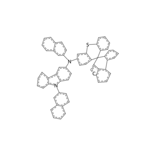 c1ccc2c(c1)Sc1cc(N(c3ccc4ccccc4c3)c3ccc4c(c3)c3ccccc3n4-c3ccc4ccccc4c3)ccc1C21c2ccccc2-c2cccc3cccc1c23